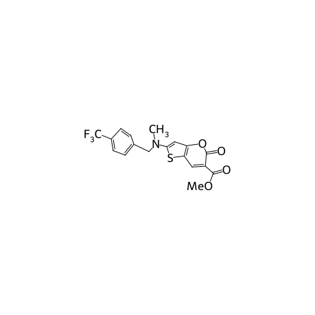 COC(=O)c1cc2sc(N(C)Cc3ccc(C(F)(F)F)cc3)cc2oc1=O